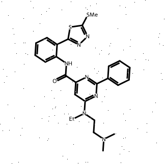 CCN(CCN(C)C)c1cc(C(=O)Nc2ccccc2-c2nnc(SC)s2)nc(-c2ccccc2)n1